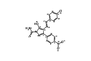 NC(=S)n1nc(-c2ccc([N+](=O)[O-])cc2)c(/N=N/c2ccc(Cl)cc2)c1O